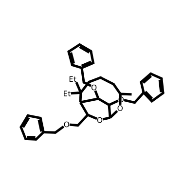 CCC1(CC)CCCC(C)OC2OC(COCc3ccccc3)C1C(OCc1ccccc1)C2OCc1ccccc1